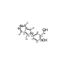 Cc1nnc(C)c2c(C)n(-c3ccc(O)c(CO)c3)c(C)c12